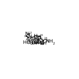 CP(O)(O)(I)C(O)(Cn1ccnc1)[PH](O)(O)[C@@]1(OO)CCC1C(=O)CN